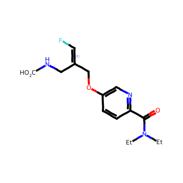 CCN(CC)C(=O)c1ccc(OC/C(=C/F)CNC(=O)O)cn1